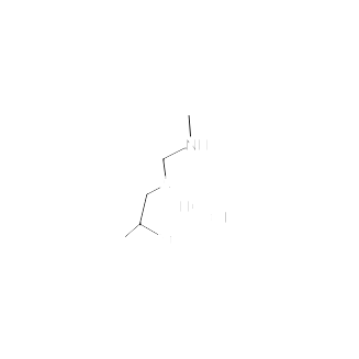 CNCSC[CH](C)[Sn].Cl.Cl